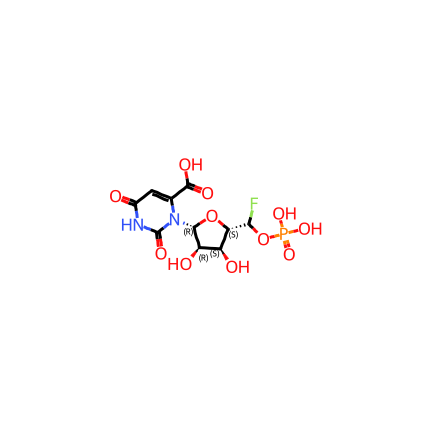 O=C(O)c1cc(=O)[nH]c(=O)n1[C@@H]1O[C@H](C(F)OP(=O)(O)O)[C@@H](O)[C@H]1O